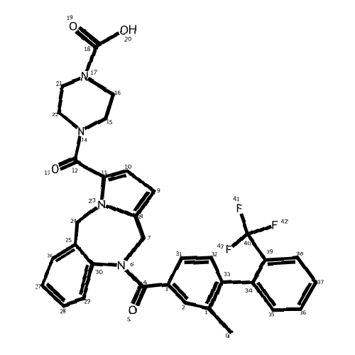 Cc1cc(C(=O)N2Cc3ccc(C(=O)N4CCN(C(=O)O)CC4)n3Cc3ccccc32)ccc1-c1ccccc1C(F)(F)F